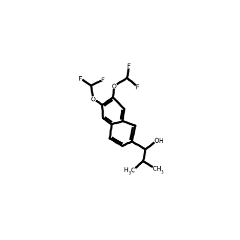 CC(C)C(O)c1ccc2cc(OC(F)F)c(OC(F)F)cc2c1